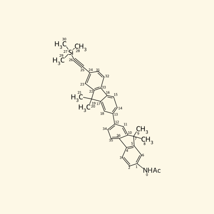 CC(=O)Nc1ccc2c(c1)C(C)(C)c1cc(-c3ccc4c(c3)C(C)(C)c3cc(C#C[Si](C)(C)C)ccc3-4)ccc1-2